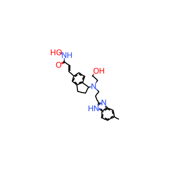 Cc1ccc2[nH]c(CCN(CCO)C3CCc4cc(C=CC(=O)NO)ccc43)nc2c1